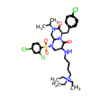 CC[N+](CC)(CC)CCCCNC1CN(S(=O)(=O)c2ccc(Cl)cc2Cl)C2CN(C(C)C)C(=O)C(Cc3ccc(Cl)cc3)N2C1=O